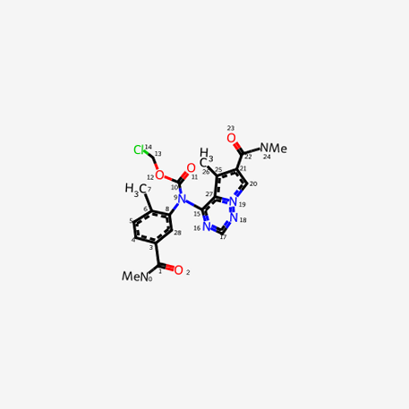 CNC(=O)c1ccc(C)c(N(C(=O)OCCl)c2ncnn3cc(C(=O)NC)c(C)c23)c1